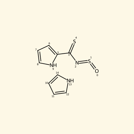 O=S=NC(=S)c1ccc[nH]1.c1cc[nH]c1